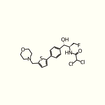 O=C(N[C@H](CF)[C@@H](O)c1ccc(-c2ccc(CN3CCOCC3)s2)cc1)C(Cl)Cl